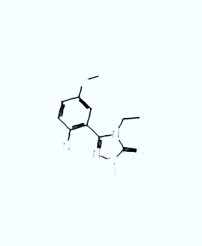 CCn1c(-c2cc(OC)ccc2N)n[nH]c1=S